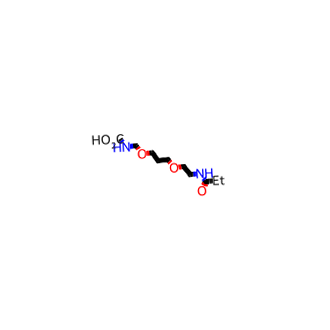 CCC(=O)NCCOCCCOCNC(=O)O